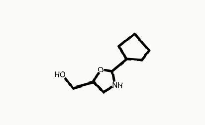 OCC1CNC(C2CCCC2)O1